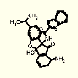 CC(C)c1ccc2c(c1)OC1(O)C3=C(C(=O)C21NC(=O)c1cc2ccccc2s1)C(N)CC=C3